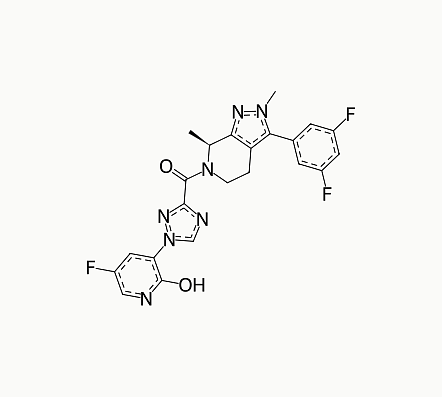 C[C@H]1c2nn(C)c(-c3cc(F)cc(F)c3)c2CCN1C(=O)c1ncn(-c2cc(F)cnc2O)n1